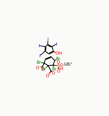 O=C([O-])C1(Br)C=CC(Br)C(Br)(S(=O)(=O)O)C1(Br)C(=O)[O-].Oc1cc(I)c(I)c(I)c1I.[Li+].[Li+]